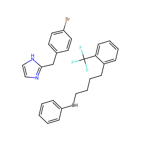 Brc1ccc(Cc2ncc[nH]2)cc1.FC(F)(F)c1ccccc1CCCCBc1ccccc1